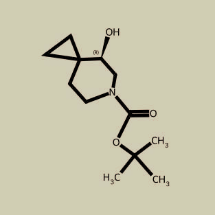 CC(C)(C)OC(=O)N1CCC2(CC2)[C@@H](O)C1